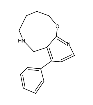 c1ccc(-c2ccnc3c2CNCCCCO3)cc1